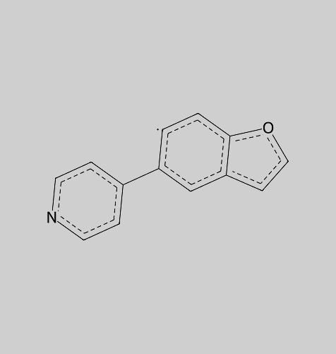 [c]1cc2occc2cc1-c1ccncc1